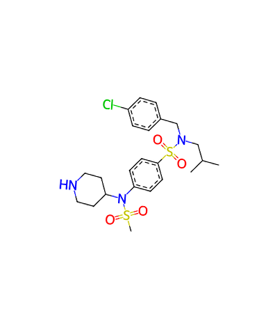 CC(C)CN(Cc1ccc(Cl)cc1)S(=O)(=O)c1ccc(N(C2CCNCC2)S(C)(=O)=O)cc1